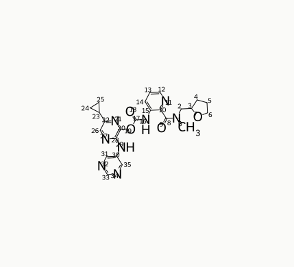 CN(CC1CCCO1)C(=O)c1ncccc1NC(=O)Oc1nc(C2CC2)cnc1Nc1cncnc1